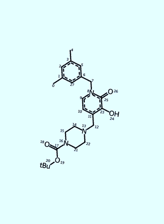 Cc1cc(C)cc(Cn2ccc(CN3CCN(C(=O)OC(C)(C)C)CC3)c(O)c2=O)c1